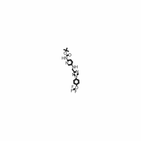 CC(C)(C)OC(=O)Nc1ccc(NCc2ncn(-c3ccc(OC(F)(F)F)cc3)n2)cn1